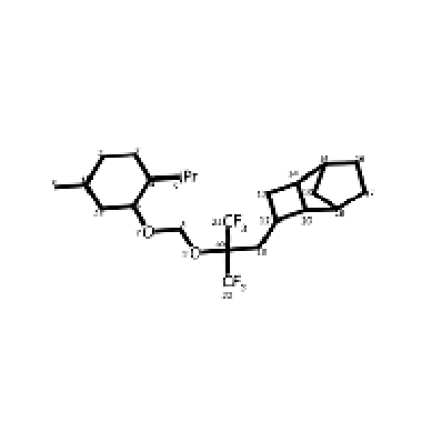 CC1CCC(C(C)C)C(OCOC(CC2CC3C4CCC(C4)C23)(C(F)(F)F)C(F)(F)F)C1